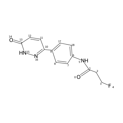 O=C(CCF)Nc1ccc(-c2ccc(=O)[nH]n2)cc1